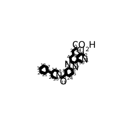 O=C(O)CCCCc1nc2cc(C(=O)N3CCC(c4ccccc4)CC3)ccc2nc1-c1cncc(Cl)c1